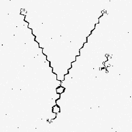 CCCCCCCCCCCCCCCCCCCCCCN(CCCCCCCCCCCCCCCCCCCCCC)c1ccc(/C=C/c2cc[n+](CC)cc2)cc1.CCOS(=O)(=O)[O-]